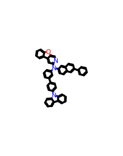 c1ccc(-c2ccc3cc(N(c4cccc(-c5ccc(-n6c7ccccc7c7ccccc76)cc5)c4)c4cc5c(cn4)oc4ccccc45)ccc3c2)cc1